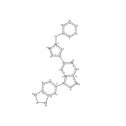 c1ccc(Cn2cc(-c3cn4c(-c5ccc6c(c5)OCO6)cnc4cn3)cn2)cc1